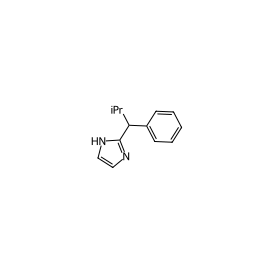 CC(C)C(c1ccccc1)c1ncc[nH]1